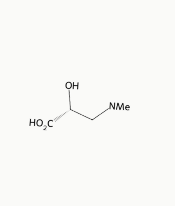 CNC[C@@H](O)C(=O)O